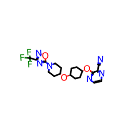 N#Cc1nccnc1O[C@H]1CC[C@H](OC2CCN(c3nc(C(F)(F)F)no3)CC2)CC1